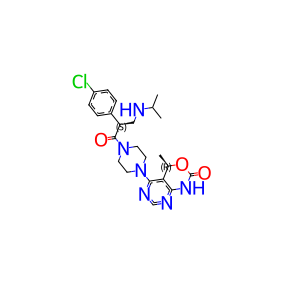 CC(C)NC[C@@H](C(=O)N1CCN(c2ncnc3c2[C@@H](C)OC(=O)N3)CC1)c1ccc(Cl)cc1